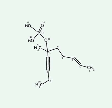 CC=CCCC(C)(C#CCC)OP(=O)(O)O